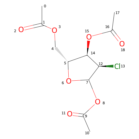 CC(=O)OC[C@H]1OC(OC(C)=O)[C@H](Cl)[C@@H]1OC(C)=O